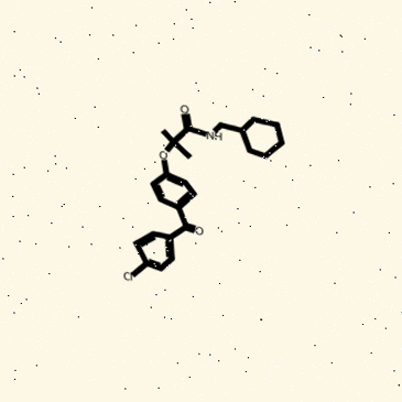 CC(C)(Oc1ccc(C(=O)c2ccc(Cl)cc2)cc1)C(=O)NCC1CCCCC1